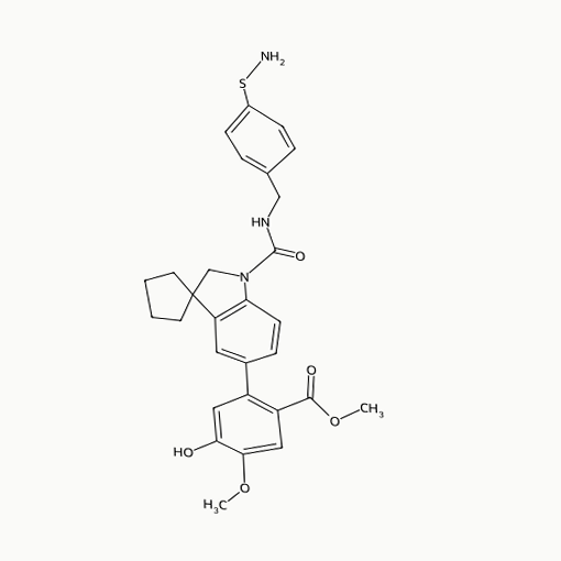 COC(=O)c1cc(OC)c(O)cc1-c1ccc2c(c1)C1(CCCC1)CN2C(=O)NCc1ccc(SN)cc1